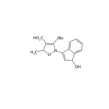 CC1ON(C2=CC(O)c3ccccc32)C(C(C)(C)C)=C1C(=O)O